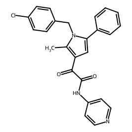 Cc1c(C(=O)C(=O)Nc2ccncc2)cc(-c2ccccc2)n1Cc1ccc(Cl)cc1